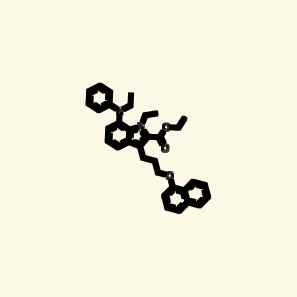 CCOC(=O)c1c(CCCOc2cccc3ccccc23)c2cccc(N(CC)c3ccccc3)c2n1CC